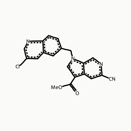 COC(=O)c1cn(Cc2ccc3ncc(Cl)cc3c2)c2cnc(C#N)cc12